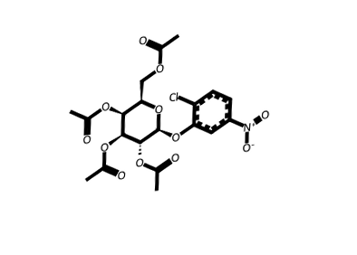 CC(=O)OC[C@H]1O[C@@H](Oc2cc([N+](=O)[O-])ccc2Cl)[C@H](OC(C)=O)[C@@H](OC(C)=O)[C@H]1OC(C)=O